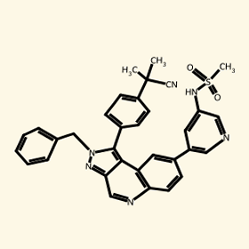 CC(C)(C#N)c1ccc(-c2c3c(cnc4ccc(-c5cncc(NS(C)(=O)=O)c5)cc43)nn2Cc2ccccc2)cc1